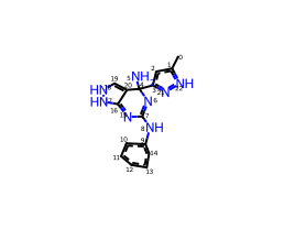 Cc1cc(C2(N)N=C(Nc3ccccc3)N=C3NNC=C32)n[nH]1